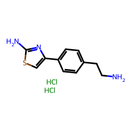 Cl.Cl.NCCc1ccc(-c2csc(N)n2)cc1